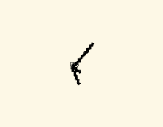 CCCCCCCCCCCCCOC(=O)C(C)(CCCC)CCCCCCCC